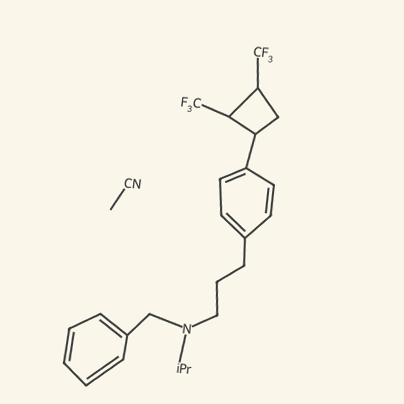 CC#N.CC(C)N(CCCc1ccc(C2CC(C(F)(F)F)C2C(F)(F)F)cc1)Cc1ccccc1